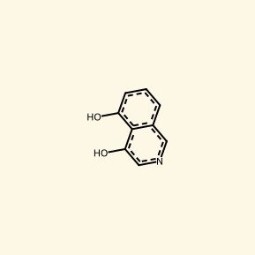 Oc1cccc2cncc(O)c12